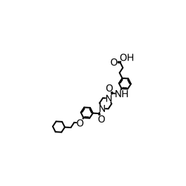 O=C(O)CCc1cccc(NC(=O)N2CCN(C(=O)c3cccc(OCCC4CCCCC4)c3)CC2)c1